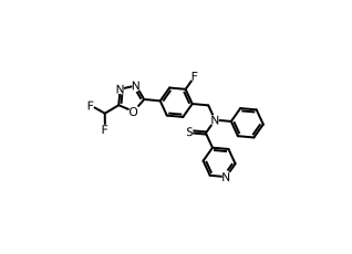 Fc1cc(-c2nnc(C(F)F)o2)ccc1CN(C(=S)c1ccncc1)c1ccccc1